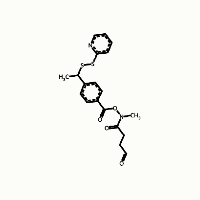 CC(SSc1ccccn1)c1ccc(C(=O)ON(C)C(=O)CCC=O)cc1